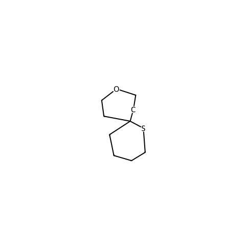 C1CCC2(CCOCC2)SC1